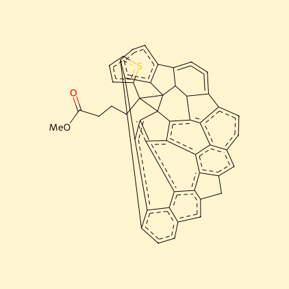 COC(=O)CCCC1(c2cccs2)C23c4c5c6c7ccc8cc9c%10c%11c(cc%12ccc%13c%14c(c2c(c4c%10c86)c%11c%12%14)C2C%13=C=C=C4c6ccc-7c-5c6C13C42)C9